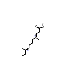 CC/C(C)=C/CCC/C(C)=C/CC(=O)OC